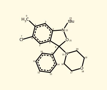 Cc1cc2c(cc1Cl)C(c1ccccc1)(N1CCOCC1)ON2C(C)(C)C